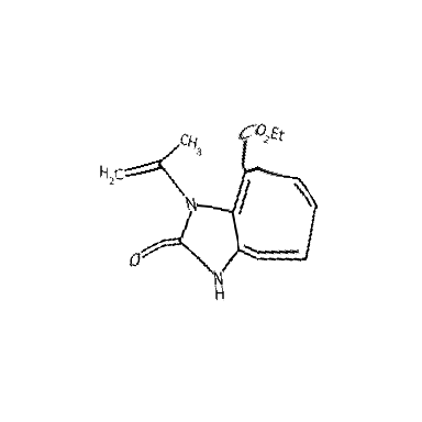 C=C(C)n1c(=O)[nH]c2cccc(C(=O)OCC)c21